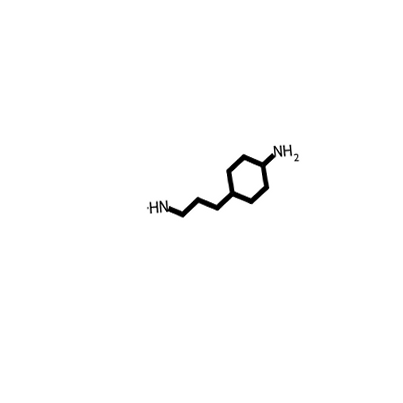 [NH]CCCC1CCC(N)CC1